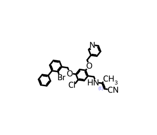 C/C(=C\C#N)NCc1cc(Cl)c(OCc2cccc(-c3ccccc3)c2Br)cc1OCc1cccnc1